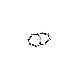 C1=CC2=CC(C=C1)N=CC=C2